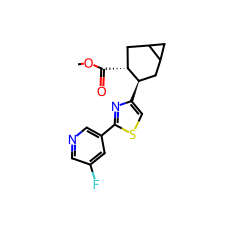 COC(=O)[C@@H]1CC2CC2C[C@H]1c1csc(-c2cncc(F)c2)n1